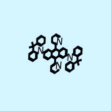 CC1(C)C2=C(CCC=C2)N(c2ccc3c(-c4ccccn4)c4cc(N5c6ccccc6C(C)(C)c6ccccc65)ccc4c(C4=NC=CCC4)c3c2)c2ccccc21